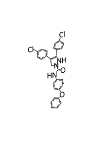 O=C(Nc1ccc(Oc2ccccc2)cc1)N1CC(c2ccc(Cl)cc2)=C(c2ccc(Cl)cc2)N1